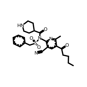 CCCCC(=O)c1cc(C#N)c(N(C(=O)C2CCNCC2)S(=O)(=O)Cc2ccccc2)nc1C